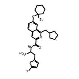 CC(C)(C)C1(Oc2ccc3cc(C(=O)NC(Cc4ccc(Br)s4)C(=O)O)nc(CC4CCCC4)c3c2)CCCCC1